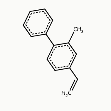 C=Cc1ccc(-c2ccccc2)c(C)c1